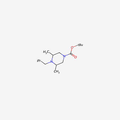 CC(C)CN1C(C)CN(C(=O)OC(C)(C)C)CC1C